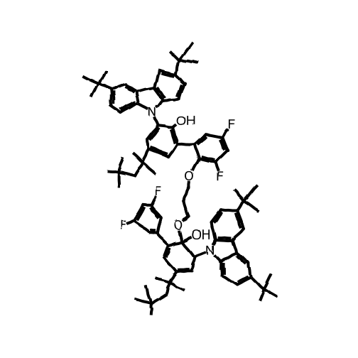 CC(C)(C)CC(C)(C)C1=CC(n2c3ccc(C(C)(C)C)cc3c3cc(C(C)(C)C)ccc32)C(O)(OCCCOc2c(F)cc(F)cc2-c2cc(C(C)(C)CC(C)(C)C)cc(-n3c4ccc(C(C)(C)C)cc4c4cc(C(C)(C)C)ccc43)c2O)C(c2cc(F)cc(F)c2)=C1